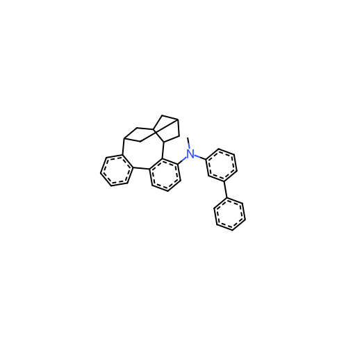 CN(c1cccc(-c2ccccc2)c1)c1cccc2c1C1CC3CC(CC1C3)c1ccccc1-2